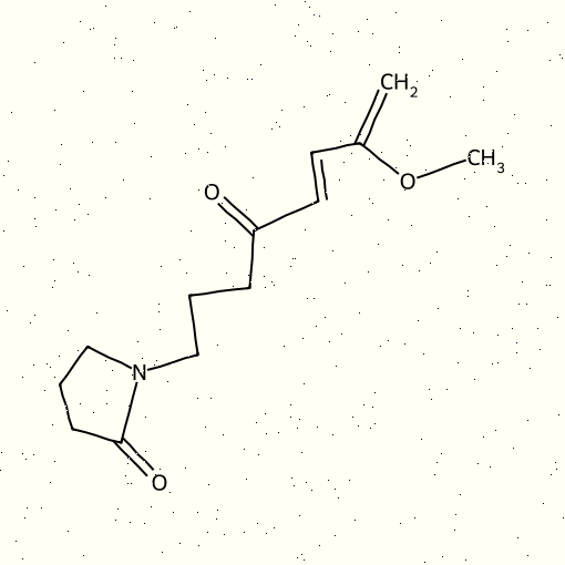 C=C(/C=C/C(=O)CCCN1CCCC1=O)OC